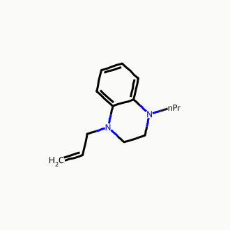 C=CCN1CCN(CCC)c2ccccc21